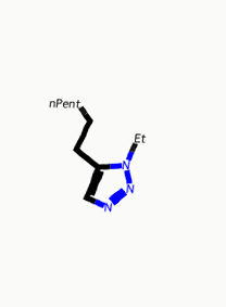 CCCCCCCc1cnnn1CC